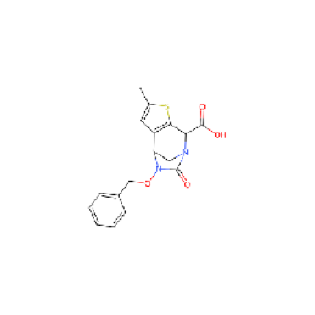 Cc1cc2c(s1)C(C(=O)O)N1CC2N(OCc2ccccc2)C1=O